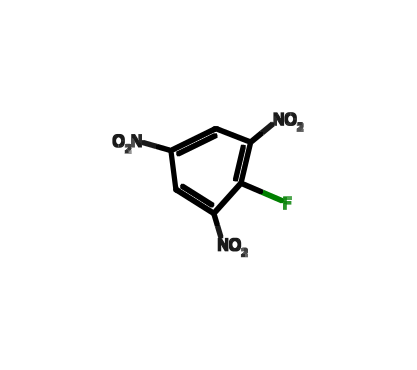 O=[N+]([O-])c1cc([N+](=O)[O-])c(F)c([N+](=O)[O-])c1